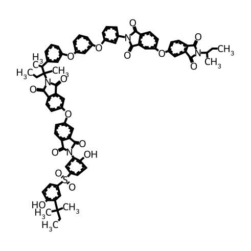 CCC(C)N1C(=O)c2ccc(Oc3ccc4c(c3)C(=O)N(c3cccc(Oc5cccc(Oc6cccc(C(C)C(C)(CC)N7C(=O)c8ccc(Oc9ccc%10c(c9)C(=O)N(c9cc(S(=O)(=O)c%11ccc(O)c(C(C)(C)CC)c%11)ccc9O)C%10=O)cc8C7=O)c6)c5)c3)C4=O)cc2C1=O